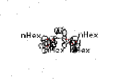 CCCCCCC1=CC2(c3cc4c(s3)-c3sc(C56C=C(CCCCCC)C(C(=O)NC5=O)c5c6c6cc(CCCCCC)c5c(=O)[nH]c6=O)cc3C3(OCCO3)C4=O)C(=O)NC(=O)C1c1c2c2cc(CCCCCC)c1c(=O)[nH]c2=O